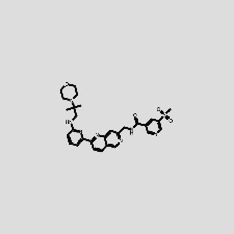 CC(C)(CNc1cccc(-c2ccc3cnc(CNC(=O)c4cncc(S(C)(=O)=O)c4)cc3n2)n1)N1CCOCC1